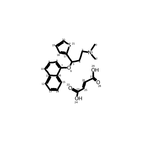 CN(C)CCC(Oc1cccc2ccccc12)c1cccs1.O=C(O)C=CC(=O)O